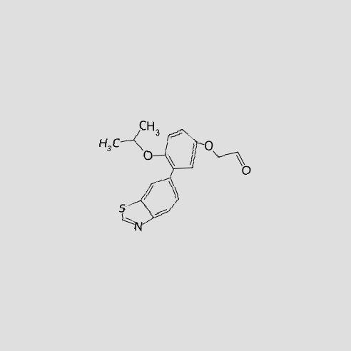 CC(C)Oc1ccc(OCC=O)cc1-c1ccc2ncsc2c1